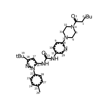 CCC(C)CC(=O)N1CCN(c2ccc(NC(=O)Nc3cc(C(C)(C)C)nn3-c3ccc(C)cc3)cn2)CC1